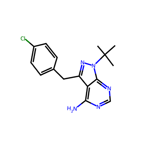 CC(C)(C)n1nc(Cc2ccc(Cl)cc2)c2c(N)ncnc21